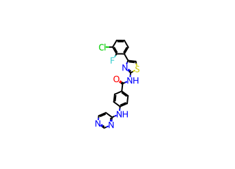 O=C(Nc1nc(-c2cccc(Cl)c2F)cs1)c1ccc(Nc2ccncn2)cc1